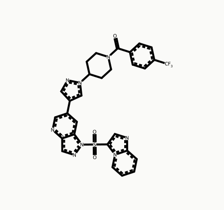 O=C(c1ccc(C(F)(F)F)cc1)N1CCC(n2cc(-c3cnc4cnn(S(=O)(=O)c5cnc6ccccn56)c4c3)cn2)CC1